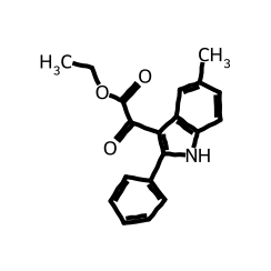 CCOC(=O)C(=O)c1c(-c2ccccc2)[nH]c2ccc(C)cc12